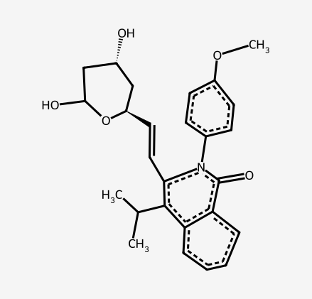 COc1ccc(-n2c(/C=C/[C@@H]3C[C@@H](O)CC(O)O3)c(C(C)C)c3ccccc3c2=O)cc1